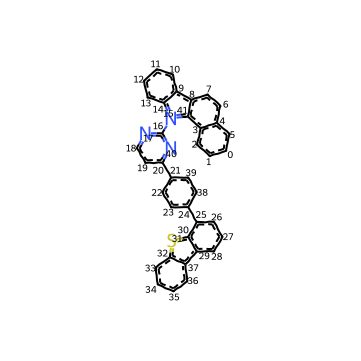 c1ccc2c(c1)ccc1c3ccccc3n(-c3nccc(-c4ccc(-c5cccc6c5sc5ccccc56)cc4)n3)c21